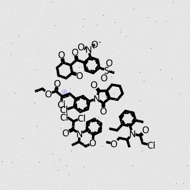 CC1COc2ccccc2N1C(=O)C(Cl)Cl.CCOC(=O)/C(Cl)=C/c1cc(N2C(=O)C3=C(CCCC3)C2=O)ccc1Cl.CCc1cccc(C)c1N(C(=O)CCl)C(C)COC.CS(=O)(=O)c1ccc(C(=O)C2C(=O)CCCC2=O)c([N+](=O)[O-])c1